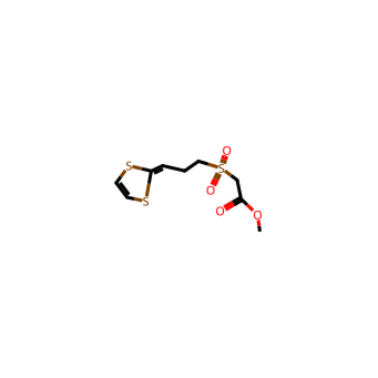 COC(=O)CS(=O)(=O)CCC=C1SC=CS1